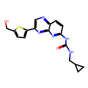 O=C(NCC1CC1)Nc1ccc2ncc(-c3ccc(CO)s3)nc2n1